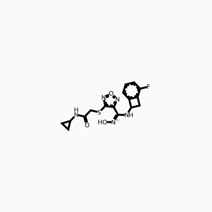 O=C(CSc1nonc1/C(=N\O)NC1Cc2c(F)cccc21)NC1CC1